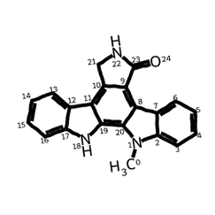 Cn1c2ccccc2c2c3c(c4c5ccccc5[nH]c4c21)CNC3=O